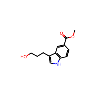 COC(=O)c1ccc2[nH]cc(CCCO)c2c1